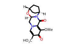 COc1c2n(cc(C(=O)O)c1=O)C[C@H]1O[C@H]3CC[C@@H](CC3)N1C2=O